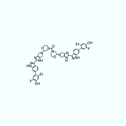 CCc1cc(O)c(F)cc1-c1ccc2c(-c3nc4c([nH]3)CN(C3CN(C(=O)N5CCOC(N6Cc7nc(-c8n[nH]c9cc(-c%10cc(F)c(O)cc%10CC)ccc89)[nH]c7C6)C5)CCO3)C4)n[nH]c2c1